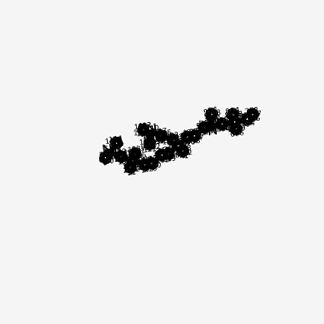 c1ccc(-c2nc3ccccc3n2-c2ccc(-c3c4ccccc4c(-c4ccc5ccc(-c6ccc7cc(-c8c9ccccc9c(-c9ccc%10cc(-c%11ccc%12c(c%11)nc(-c%11ccc(-c%13c%14ccccc%14c(-c%14ccc%15ccccc%15c%14)c%14ccccc%13%14)cc%11)n%12-c%11ccccc%11)ccc%10c9)c9ccc(-c%10ccc(-c%11nc%12ccccc%12n%11-c%11ccccc%11)cc%10)cc89)ccc7c6)cc5c4)c4ccccc34)cc2)cc1